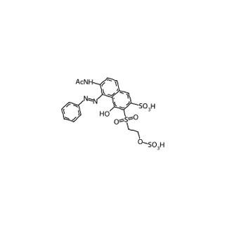 CC(=O)Nc1ccc2cc(S(=O)(=O)O)c(S(=O)(=O)CCOS(=O)(=O)O)c(O)c2c1N=Nc1ccccc1